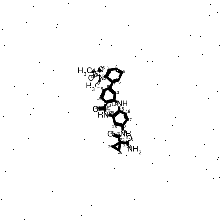 CN(c1ccccc1-c1ccc2c(c1)Nc1ccc(NC(=O)C3(C(N)=O)CC3)cc1NC2=O)S(C)(=O)=O